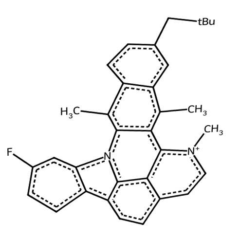 Cc1c2cc(CC(C)(C)C)ccc2c(C)c2c1c1c3c(ccc4c5ccc(F)cc5n2c43)cc[n+]1C